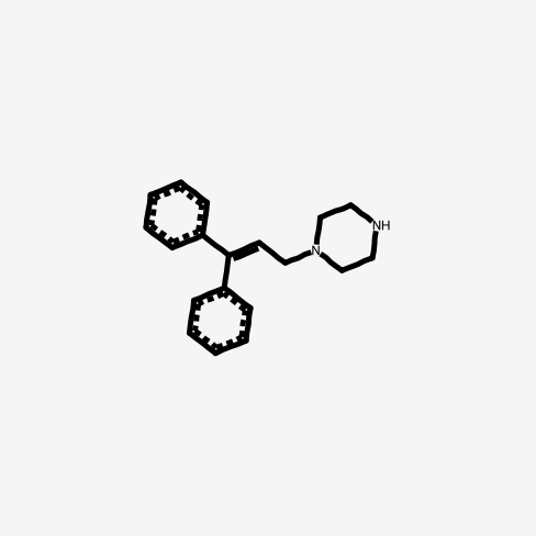 C(CN1CCNCC1)=C(c1ccccc1)c1ccccc1